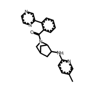 Cc1ccc(NC2CC3CC2N(C(=O)c2ccccc2-c2cnccn2)C3)nc1